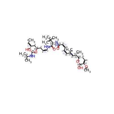 C/C=C\C[C@@H](C/C=C\NC(=O)[C@@H](NC(=O)\C=C/C=C\C(C)=C\[C@H](C)[C@@H]1CC=C(OC)[C@H](O)O1)C(C)(C)C)OC(O)NC(C)C